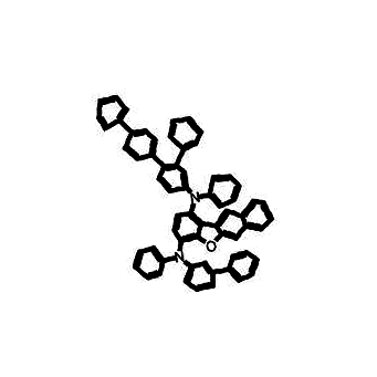 c1ccc(-c2ccc(-c3ccc(N(c4ccccc4)c4ccc(N(c5ccccc5)c5cccc(-c6ccccc6)c5)c5oc6cc7ccccc7cc6c45)cc3-c3ccccc3)cc2)cc1